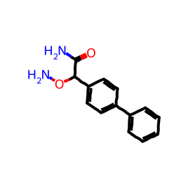 NOC(C(N)=O)c1ccc(-c2ccccc2)cc1